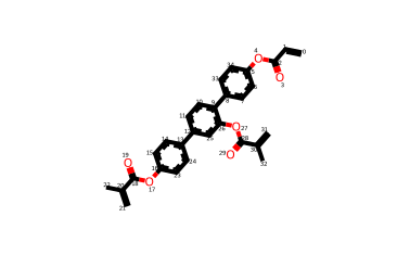 C=CC(=O)Oc1ccc(-c2ccc(-c3ccc(OC(=O)C(=C)C)cc3)cc2OC(=O)C(=C)C)cc1